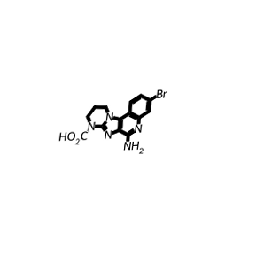 Nc1nc2cc(Br)ccc2c2c1nc1n2CCCN1C(=O)O